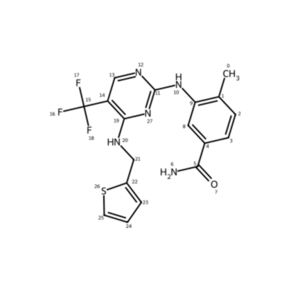 Cc1ccc(C(N)=O)cc1Nc1ncc(C(F)(F)F)c(NCc2cccs2)n1